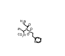 CC(C)C(C(=O)O)N(C(=O)CN)S(=O)(=O)CCc1ccccn1